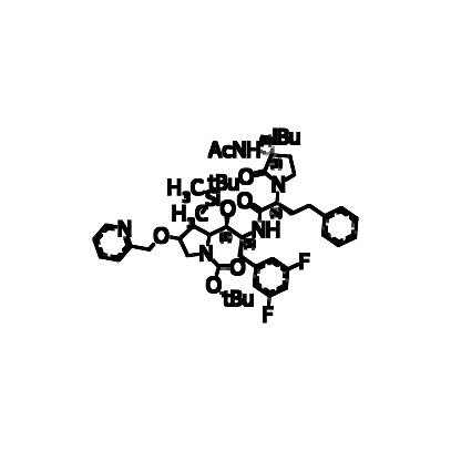 CC[C@@H](C)[C@@]1(NC(C)=O)CCN([C@@H](CCc2ccccc2)C(=O)N[C@@H](Cc2cc(F)cc(F)c2)[C@H](O[Si](C)(C)C(C)(C)C)C2CC(OCc3ccccn3)CN2C(=O)OC(C)(C)C)C1=O